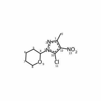 Cc1nn(C2CCCCO2)c(Cl)c1[N+](=O)[O-]